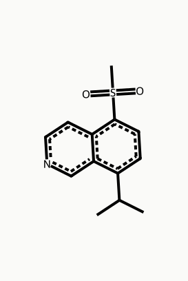 CC(C)c1ccc(S(C)(=O)=O)c2ccncc12